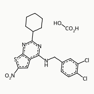 O=C(O)O.O=[N+]([O-])c1cc2c(NCc3ccc(Cl)c(Cl)c3)nc(C3CCCCC3)nc2s1